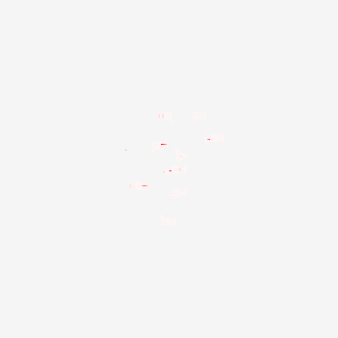 C[C@@H]1O[C@@H](O[C@@H](CC(C)(C)C)[C@@H](O)[C@H](O)[C@H](O)CO)[C@H](O)[C@H](O)[C@H]1O